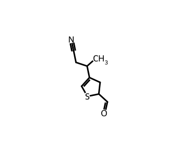 CC(CC#N)C1=CSC(C=O)C1